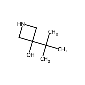 CC(C)(C)C1(O)CNC1